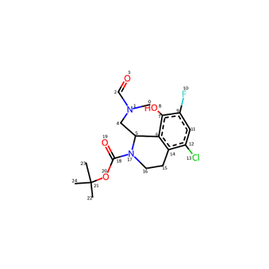 CN(C=O)CC1c2c(O)c(F)cc(Cl)c2CCN1C(=O)OC(C)(C)C